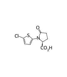 O=C(O)[C@@H]1CCC(=O)N1c1ccc(Cl)s1